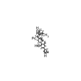 C[C@]12CC[C@](C)(C[C@@H](N(CCF)c3ccc(-c4c(O)cc(-c5cn[nH]c5)cc4F)nn3)C1)N2